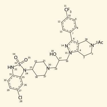 CC(=O)N1CCc2c(c(-c3ccc(C(F)(F)F)cc3)nn2CC(O)CN2CCC(N3c4cc(Cl)ccc4NS3(=O)=O)CC2)C1